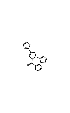 O=C(C1=CC=CC1)C1C=C(C2=CC=CC2)CC1C1=CC=CC1